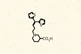 O=C(O)C1CCCN(CCC=C(c2cccs2)c2cccs2)C1